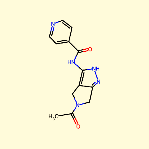 CC(=O)N1Cc2n[nH]c(NC(=O)c3ccncc3)c2C1